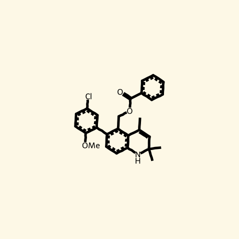 COc1ccc(Cl)cc1-c1ccc2c(c1COC(=O)c1ccccc1)C(C)=CC(C)(C)N2